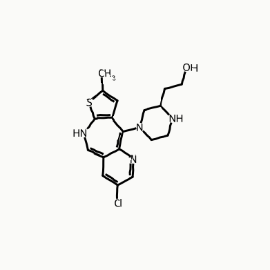 Cc1cc2c(s1)NC=c1cc(Cl)cnc1=C2N1CCNC(CCO)C1